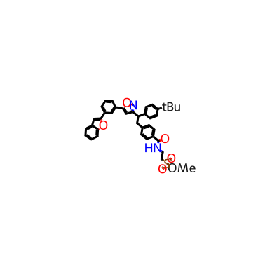 COS(=O)(=O)CCNC(=O)c1ccc(CC(c2ccc(C(C)(C)C)cc2)c2cc(-c3cccc(-c4cc5ccccc5o4)c3)on2)cc1